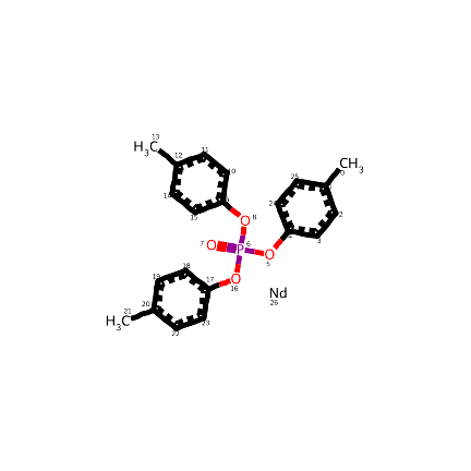 Cc1ccc(OP(=O)(Oc2ccc(C)cc2)Oc2ccc(C)cc2)cc1.[Nd]